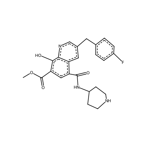 COC(=O)c1cc(C(=O)NC2CCNCC2)c2cc(Cc3ccc(F)cc3)cnc2c1O